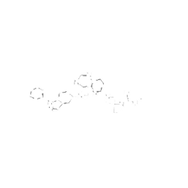 CC(C)(C)OC(=O)N1CCC12CN(c1ccc3ncnc(Nc4ccc5c(cnn5-c5ccccc5)c4)c3n1)C2